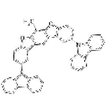 Cc1c2oc3ccc(-n4c5ccccc5c5ccccc54)cc3c2cc2c1oc1ccc(-n3c4ccccc4c4ccccc43)cc12